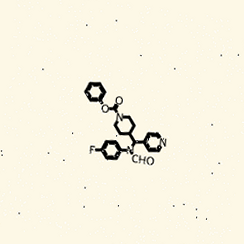 O=CN(c1ccc(F)cc1)C(c1ccncc1)C1CCN(C(=O)Oc2ccccc2)CC1